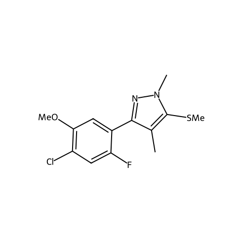 COc1cc(-c2nn(C)c(SC)c2C)c(F)cc1Cl